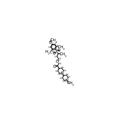 COc1cc(C)c(S(=O)(=O)C(C)CCOCC(=O)C2CCN(C3CCN(C)CC3)CC2)c(C)c1